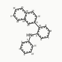 c1ccc(Nc2ccccc2-c2ccc3ccccc3c2)cc1